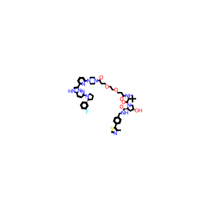 Cc1ncsc1-c1ccc(CNC(=O)[C@@H]2C[C@@H](O)CN2C(=O)[C@@H](NC(=O)CCOCCOCCC(=O)N2CCN(c3cccc(C4=CNC5C=CC(N6CCC[C@@H]6c6cccc(F)c6)=NN45)n3)CC2)C(C)(C)C)cc1